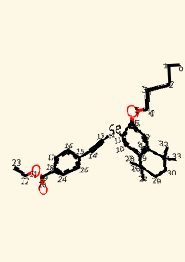 CCCCCOc1cc2c(cc1[Se]C#Cc1ccc(C(=O)OCC)cc1)C(C)(C)CCC2(C)C